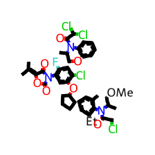 CC(C)=C1OC(=O)N(c2cc(OC3CCCC3)c(Cl)cc2F)C1=O.CC1COc2ccccc2N1C(=O)C(Cl)Cl.CCc1cccc(C)c1N(C(=O)CCl)C(C)COC